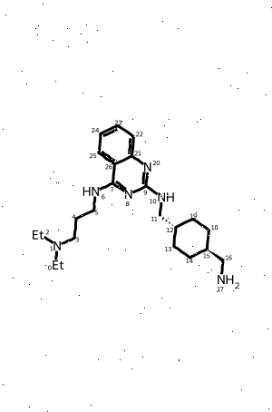 CCN(CC)CCCNc1nc(NC[C@H]2CC[C@H](CN)CC2)nc2ccccc12